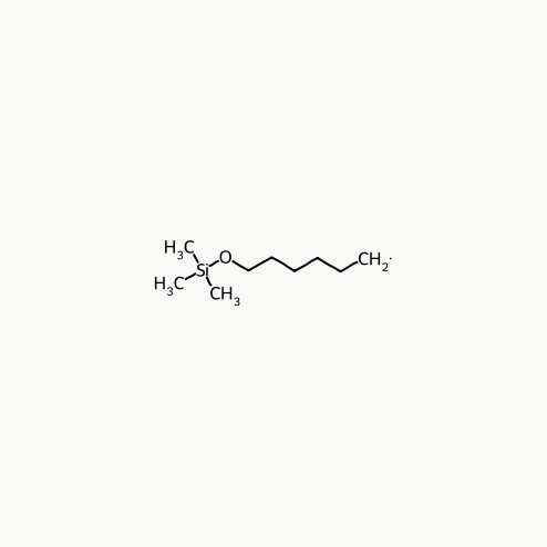 [CH2]CCCCCO[Si](C)(C)C